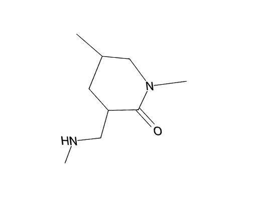 CNCC1CC(C)CN(C)C1=O